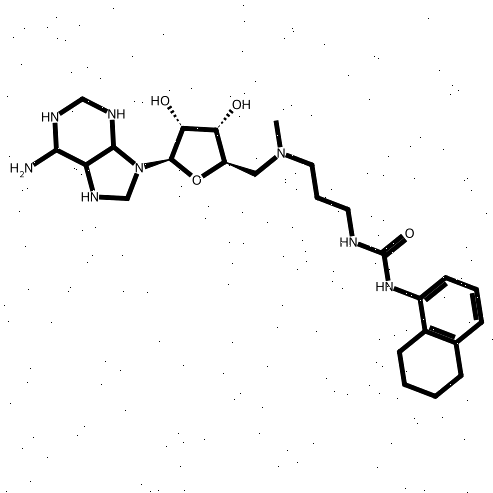 CN(CCCNC(=O)Nc1cccc2c1CCCC2)C[C@H]1O[C@@H](N2CNC3C(N)NCNC32)[C@H](O)[C@@H]1O